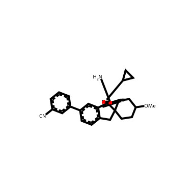 [C-]#[N+]c1cccc(-c2ccc3c(c2)C2(N=C(N)N(C4CC4)C2=O)C2(CCC(OC)CC2)C3)c1